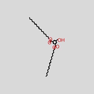 CCCCCC=CCC=CCCCCCCCCOC(=O)c1cc(CO)cc(C(=O)OCCCCCCCCC=CCC=CCCCCC)c1